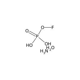 N.O.O=P(O)(O)OF